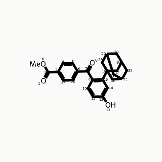 COC(=O)c1ccc(C(=O)c2ccc(O)cc2C23CC4CC(CC(C4)C2)C3)cc1